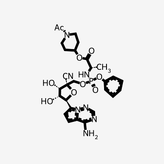 CC(=O)N1CCC(OC(=O)[C@H](C)NP(=O)(OC[C@@]2(C#N)O[C@@H](c3ccc4c(N)ncnn34)[C@H](O)[C@@H]2O)Oc2ccccc2)CC1